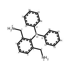 NCc1cccc(CN)c1P(c1ccccc1)c1ccccc1